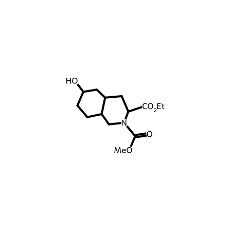 CCOC(=O)C1CC2CC(O)CCC2CN1C(=O)OC